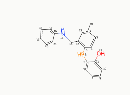 Cc1ccc(Pc2ccccc2O)c(CNc2ccccc2)c1